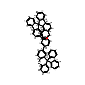 c1ccc(C2(c3ccccc3)c3ccccc3Oc3ccc(-c4cccc(-c5ccc6c(c5)C5(c7ccccc7-6)c6ccccc6-c6ccc7ccccc7c65)c4)cc32)cc1